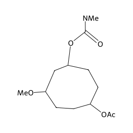 CNC(=O)OC1CCC(OC(C)=O)CCC(OC)C1